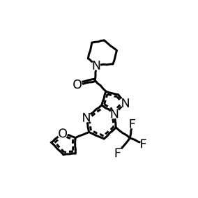 O=C(c1cnn2c(C(F)(F)F)cc(-c3ccco3)nc12)N1CCCCC1